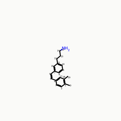 Cc1ccc(/C=C\c2cccc(CCCN)c2)cc1C